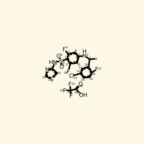 CC(Nc1cc(F)c(S(=O)(=O)Nc2cscn2)c(F)c1)c1cc(Cl)ccc1F.O=C(O)C(F)(F)F